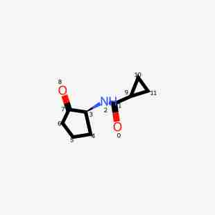 O=C(N[C@H]1CCCC1=O)C1CC1